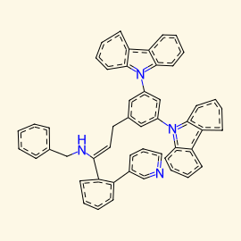 C(/Cc1cc(-n2c3ccccc3c3ccccc32)cc(-n2c3ccccc3c3ccccc32)c1)=C(/NCc1ccccc1)c1ccccc1-c1cccnc1